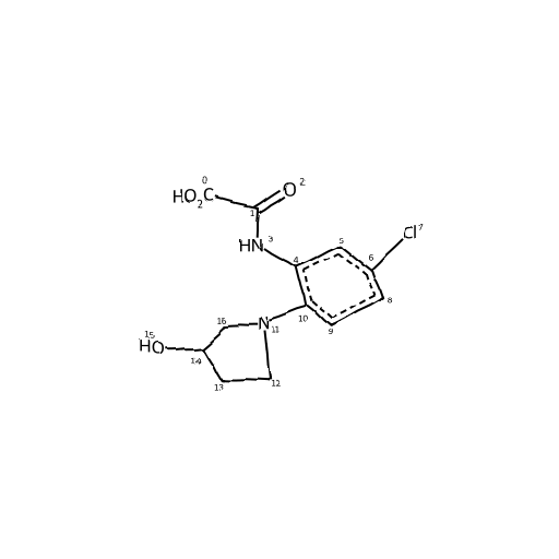 O=C(O)C(=O)Nc1cc(Cl)ccc1N1CCC(O)C1